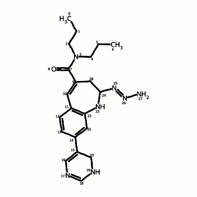 CCCN(CCC)C(=O)C1=Cc2ccc(C3=CN=CNC3)cc2NC(N=NN)C1